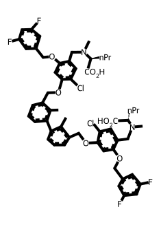 CCC[C@@H](C(=O)O)N(C)Cc1cc(Cl)c(OCc2cccc(-c3cccc(COc4cc(OCc5cc(F)cc(F)c5)c(CN(C)[C@@H](CCC)C(=O)O)cc4Cl)c3C)c2C)cc1OCc1cc(F)cc(F)c1